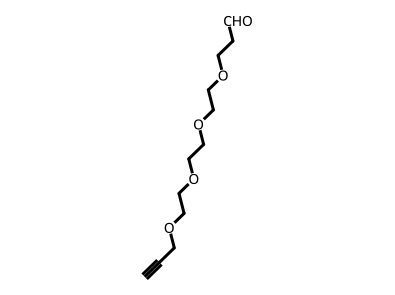 C#CCOCCOCCOCCOCCC=O